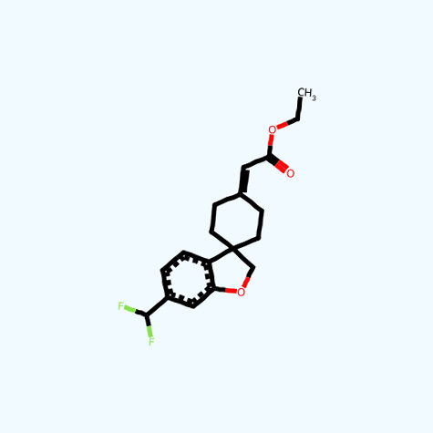 CCOC(=O)C=C1CCC2(CC1)COc1cc(C(F)F)ccc12